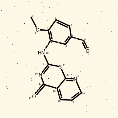 COc1ccc(C=O)cc1Nc1nc(=O)c2cccnc2s1